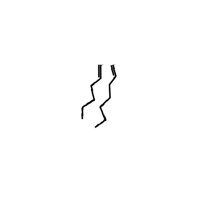 [CH]=CCCCC.[CH]=CCCCCC